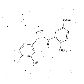 COc1ccc(OC)c(C(=O)C2CCC2c2ccc(C)c(O)c2)c1